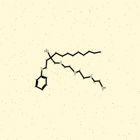 CCCCCCCCCC(O)(CCOc1ccccc1)COCCOCCOCCO